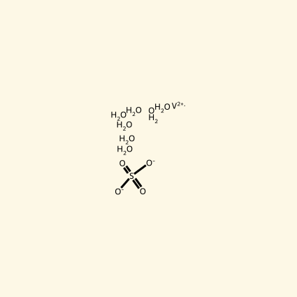 O.O.O.O.O.O.O.O=S(=O)([O-])[O-].[V+2]